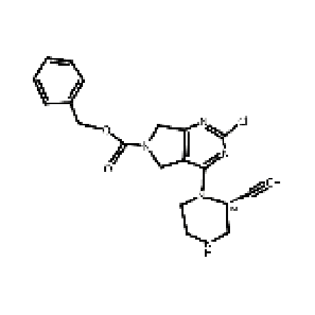 C#C[C@H]1CNCCN1c1nc(Cl)nc2c1CN(C(=O)OCc1ccccc1)C2